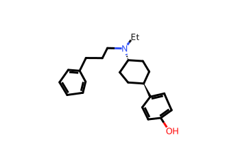 CCN(CCCc1ccccc1)[C@H]1CC[C@H](c2ccc(O)cc2)CC1